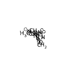 C=CC(=O)N1CCN(c2nc(OCC(C)(C)N(C)CC3CCCCC3)nc3c2CCN(c2cccc4cccc(Cl)c24)C3)C[C@@H]1CC#N